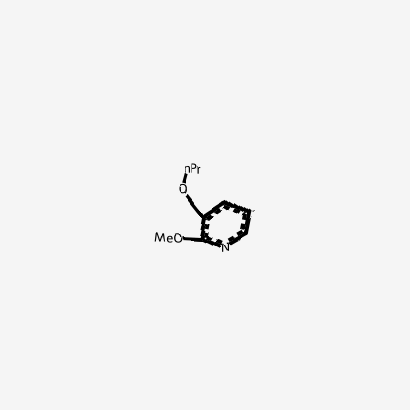 CCCOc1c[c]cnc1OC